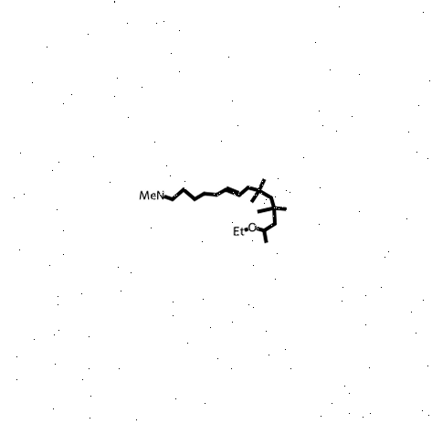 CCOC(C)CC(C)(C)CC(C)(C)C/C=C/CCCCCNC